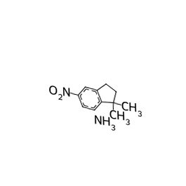 CC1(C)CCc2cc([N+](=O)[O-])ccc21.N